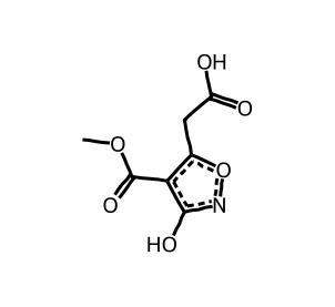 COC(=O)c1c(O)noc1CC(=O)O